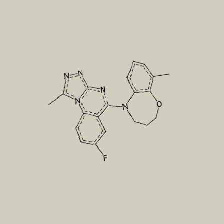 Cc1cccc2c1OCCCN2c1nc2nnc(C)n2c2ccc(F)cc12